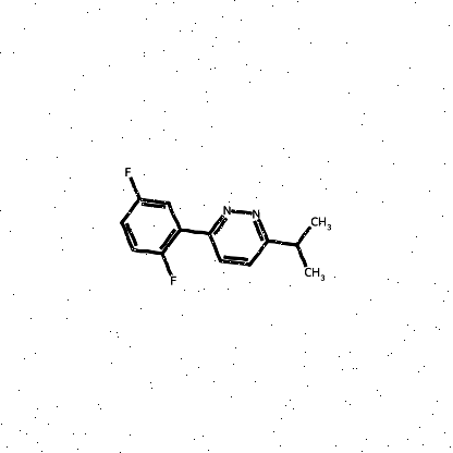 CC(C)c1ccc(-c2cc(F)ccc2F)nn1